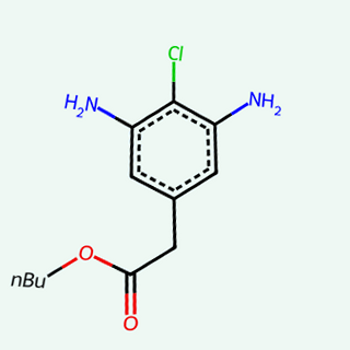 CCCCOC(=O)Cc1cc(N)c(Cl)c(N)c1